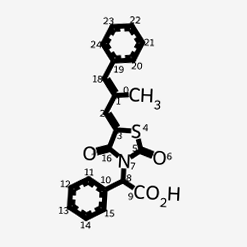 CC(/C=C1\SC(=O)N(C(C(=O)O)c2ccccc2)C1=O)=C\c1ccccc1